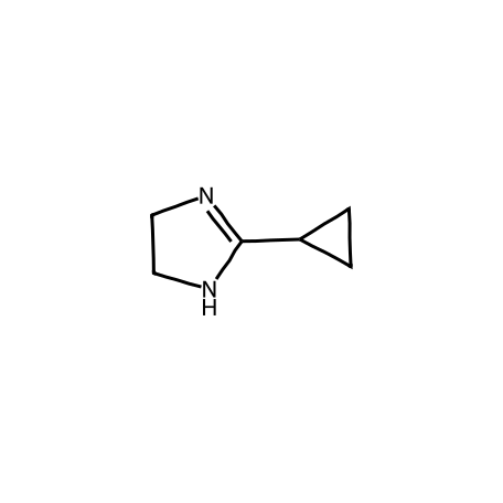 C1CNC(C2CC2)=N1